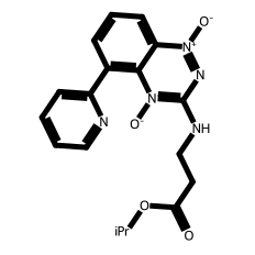 CC(C)OC(=O)CCNc1n[n+]([O-])c2cccc(-c3ccccn3)c2[n+]1[O-]